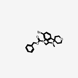 CN(C1CN(C(=O)OCc2ccccc2)C1)C1(c2ccc(Br)cc2)CCOCC1